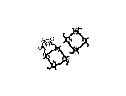 C=CC1=C(C)c2cc3[nH]c(cc4nc(cc5[nH]c(cc1n2)c(C)c5CCC(=O)O)C(CCC(=O)O)=C4C)c(C)c3C=C.CCC1=C(C)c2cc3[nH]c(cc4nc(cc5[nH]c(cc1n2)c(C)c5CC)C(C)=C4CC)c(C)c3CC